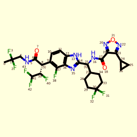 CC(F)(F)CNC(=O)[C@H](c1ccc2[nH]c([C@@H](NC(=O)c3nonc3C3CC3)C3CCC(F)(F)CC3)nc2c1F)C(F)C(F)F